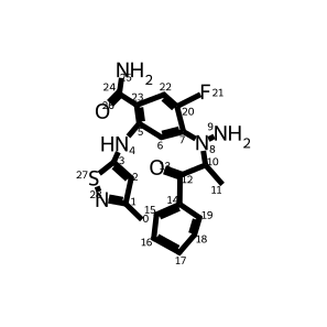 Cc1cc(Nc2cc(N(N)C(C)C(=O)c3ccccc3)c(F)cc2C(N)=O)sn1